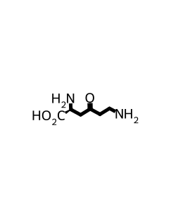 NCCC(=O)C[C@H](N)C(=O)O